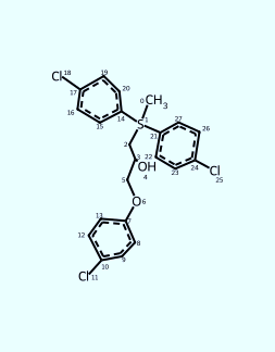 CS(CC(O)COc1ccc(Cl)cc1)(c1ccc(Cl)cc1)c1ccc(Cl)cc1